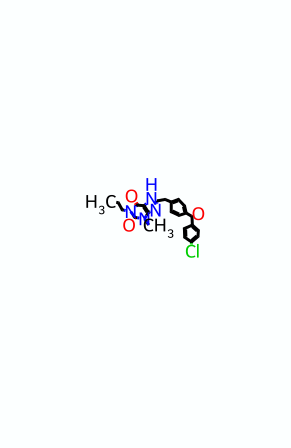 CCCn1c(=O)c2[nH]c(Cc3ccc(C(=O)c4ccc(Cl)cc4)cc3)nc2n(C)c1=O